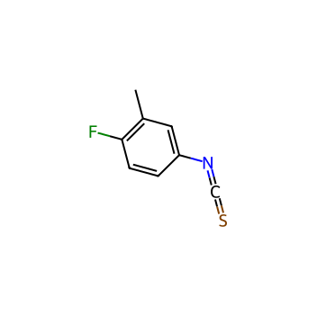 Cc1cc(N=C=S)ccc1F